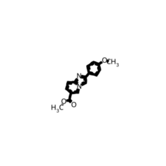 COC(=O)c1ccc2nc(-c3ccc(OC)cc3)cn2c1